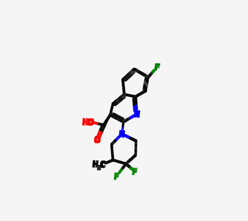 CC1CN(c2nc3cc(F)ccc3cc2C(=O)O)CCC1(F)F